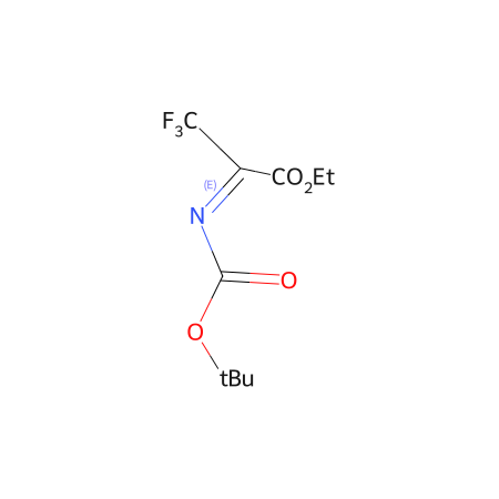 CCOC(=O)/C(=N\C(=O)OC(C)(C)C)C(F)(F)F